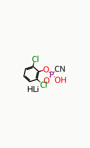 N#CP(=O)(O)Oc1c(Cl)cccc1Cl.[LiH]